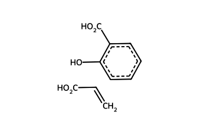 C=CC(=O)O.O=C(O)c1ccccc1O